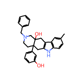 Cc1ccc2[nH]c3c(c2c1)CC1(O)CN(Cc2ccccc2)CCC1(c1cccc(O)c1)C3